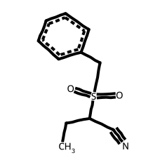 CCC(C#N)S(=O)(=O)Cc1ccccc1